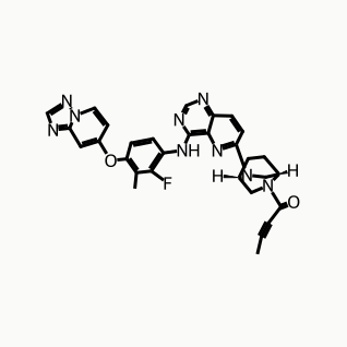 CC#CC(=O)N1C[C@@H]2CC[C@H]1CN2c1ccc2ncnc(Nc3ccc(Oc4ccn5ncnc5c4)c(C)c3F)c2n1